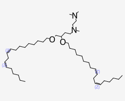 CCCCC/C=C\C/C=C\CCCCCCCCOCC(CCN(C)CCN(C)C)OCCCCCCCC/C=C\C/C=C\CCCCC